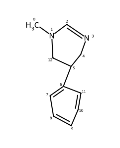 CN1C=NCC(c2ccccc2)C1